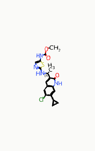 COC(=O)Nc1cnc(N[C@@H](C)c2cc3cc(Cl)c(C4CC4)cc3[nH]c2=O)s1